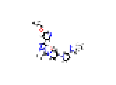 CCOc1cncc(-c2cn(C(C)n3ccc(N4CCC[C@@H](NCC5CCC5)C4)cc3=O)nn2)c1